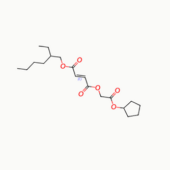 CCCCC(CC)COC(=O)/C=C/C(=O)OCC(=O)OC1CCCC1